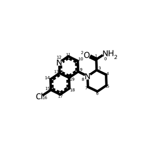 NC(=O)C1C[CH]CCN1c1ccnc2cc(Cl)ccc12